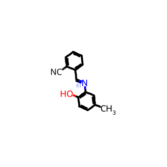 Cc1ccc(O)c(/N=C/c2ccccc2C#N)c1